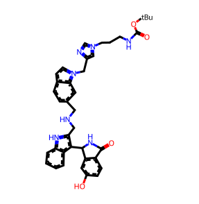 CC(C)(C)OC(=O)NCCCn1cnc(Cn2ccc3ccc(CNCc4[nH]c5ccccc5c4C4NC(=O)c5ccc(O)cc54)cc32)c1